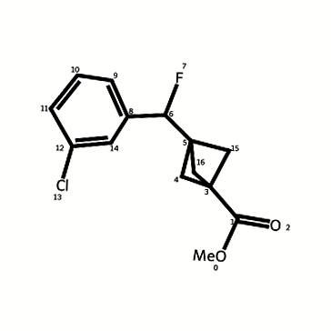 COC(=O)C12CC(C(F)c3cccc(Cl)c3)(C1)C2